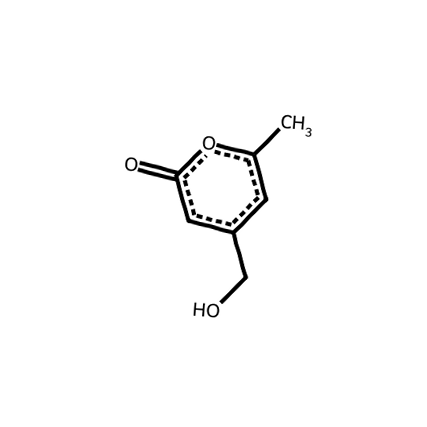 Cc1cc(CO)cc(=O)o1